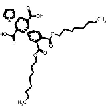 CCCCCCCCOC(=O)c1ccccc1C(=O)OCCCCCCCC.O=C(O)c1ccc(C(=O)O)cc1.c1ccsc1